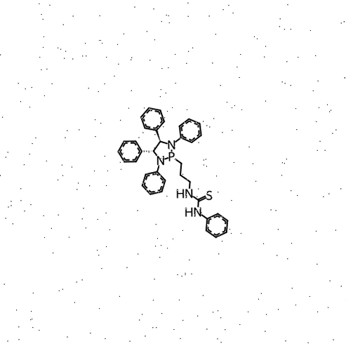 S=C(NCCCP1N(c2ccccc2)[C@H](c2ccccc2)[C@@H](c2ccccc2)N1c1ccccc1)Nc1ccccc1